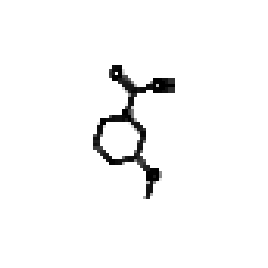 COC1CCCN(C(=O)O)C1